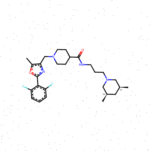 Cc1oc(-c2c(F)cccc2F)nc1CN1CCC(C(=O)NCCCN2C[C@H](C)C[C@H](C)C2)CC1